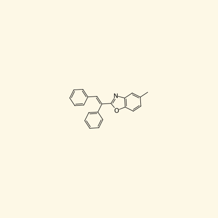 Cc1ccc2oc(C(=Cc3ccccc3)c3ccccc3)nc2c1